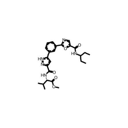 CCC(CC)NC(=O)c1cnc(-c2cccc(-c3cc(C(=O)N[C@H](C(=O)OC)C(C)C)n[nH]3)c2)o1